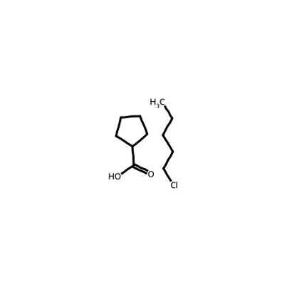 CCCCCCl.O=C(O)C1CCCC1